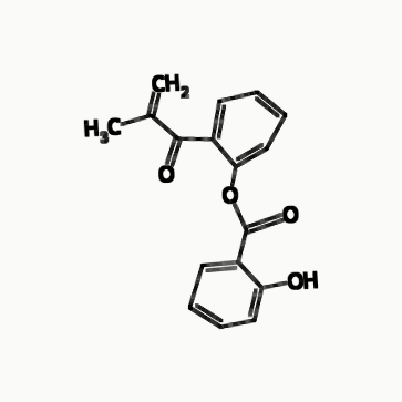 C=C(C)C(=O)c1ccccc1OC(=O)c1ccccc1O